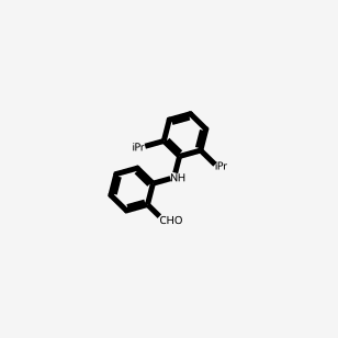 CC(C)c1cccc(C(C)C)c1Nc1ccccc1C=O